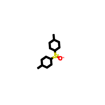 CC1CCC([S+]([O-])C2CCC(C)CC2)CC1